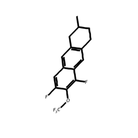 CC1CCc2cc3c(F)c(OC(F)(F)F)c(F)cc3cc2C1